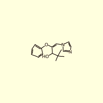 CC(C)(C)C(O)C(=Cn1ccnc1)Oc1ccccc1